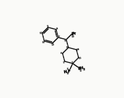 BC1(P)CCC(C(c2ccccc2)C(C)C)CC1